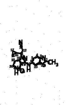 Cc1nc2ccc(Nc3nn(C(CC#N)C4CC4)c4cc[nH]c(=O)c34)cc2s1